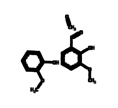 C=O.COc1cccc(C=O)c1O.COc1ccccc1O